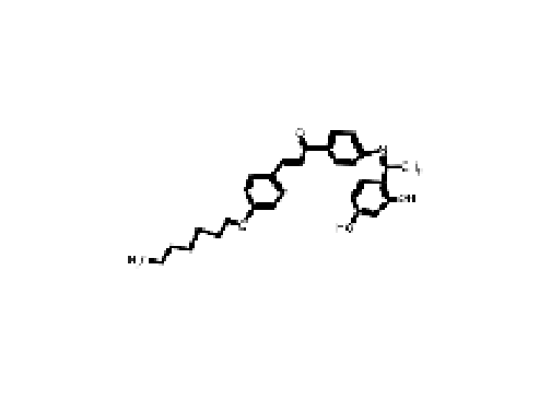 CCCCCCCOc1ccc(C=CC(=O)c2ccc(N=C(C)c3ccc(O)cc3O)cc2)cc1